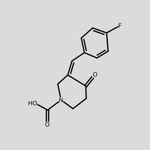 O=C1CCN(C(=O)O)CC1=Cc1ccc(F)cc1